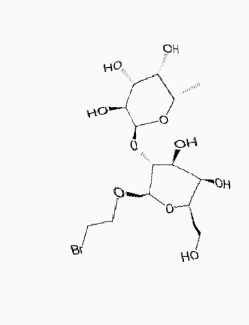 C[C@@H]1O[C@@H](O[C@H]2[C@H](OCCBr)O[C@H](CO)[C@H](O)[C@@H]2O)[C@@H](O)[C@H](O)[C@@H]1O